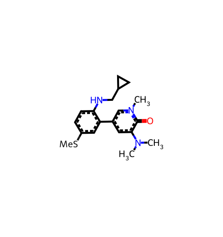 CSc1ccc(NCC2CC2)c(-c2cc(N(C)C)c(=O)n(C)c2)c1